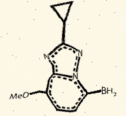 Bc1ccc(OC)c2nc(C3CC3)nn12